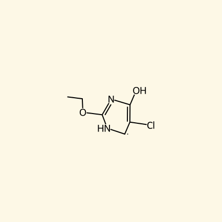 CCOC1=NC(O)=C(Cl)[CH]N1